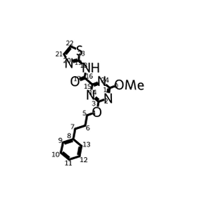 COc1nc(OCCCc2ccccc2)nc(C(=O)Nc2nccs2)n1